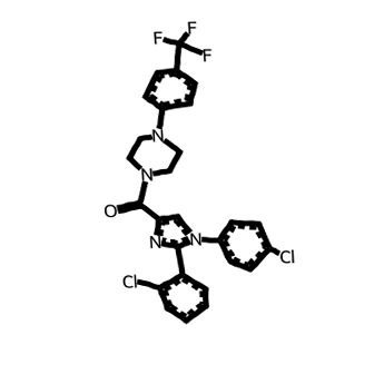 O=C(c1cn(-c2ccc(Cl)cc2)c(-c2ccccc2Cl)n1)N1CCN(c2ccc(C(F)(F)F)cc2)CC1